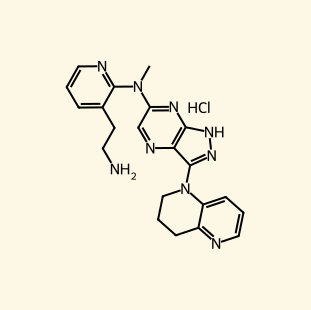 CN(c1cnc2c(N3CCCc4ncccc43)n[nH]c2n1)c1ncccc1CCN.Cl